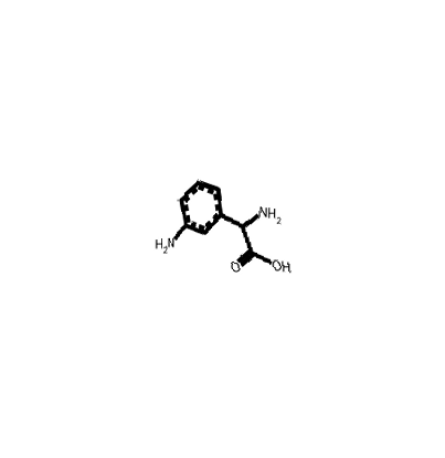 Nc1[c]ccc(C(N)C(=O)O)c1